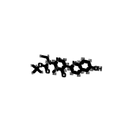 CCN(C(=O)OC(C)(C)C)c1ncc(-c2ccc3cc(O)ccc3n2)c(=O)n1C